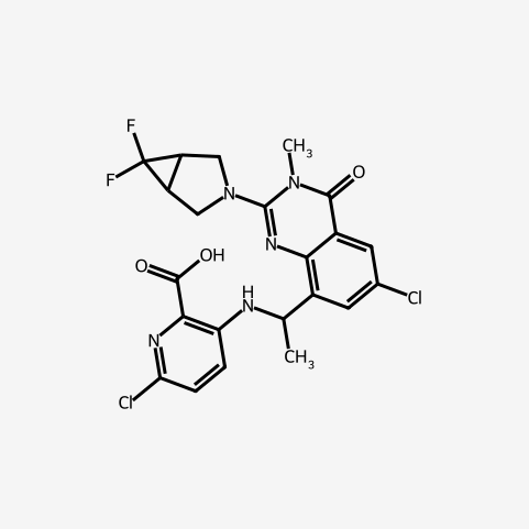 CC(Nc1ccc(Cl)nc1C(=O)O)c1cc(Cl)cc2c(=O)n(C)c(N3CC4C(C3)C4(F)F)nc12